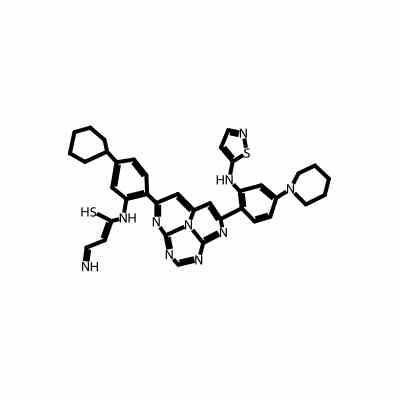 N=C/C=C(\S)Nc1cc(C2CCCCC2)ccc1C1=NC2=NC=NC3=NC(c4ccc(N5CCCCC5)cc4Nc4ccns4)=CC(=C1)N23